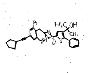 CC(C)c1cc(C#CC2CCCC2)cc(C(C)C)c1CC1=NS(=O)(c2cc(C(C)(C)O)c(-c3ccccc3)s2)=N1